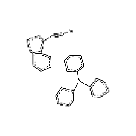 [Au][C]#Cc1cccc2ccccc12.c1ccc(P(c2ccccc2)c2ccccc2)cc1